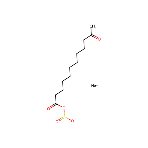 CC(=O)CCCCCCCCCC(=O)OS(=O)[O-].[Na+]